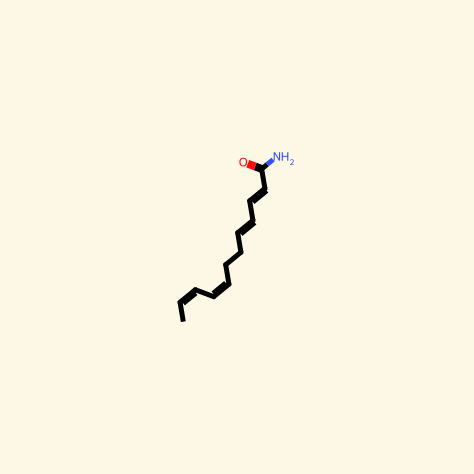 C/C=C\C=C/CC/C=C/C=C/C(N)=O